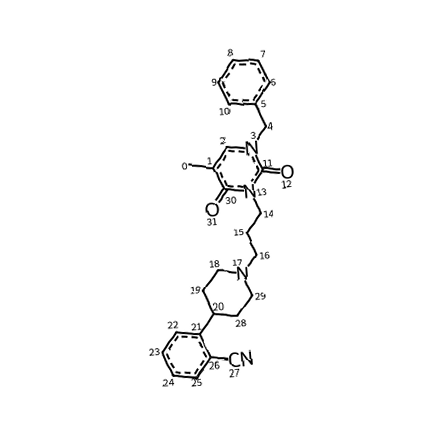 Cc1cn(Cc2ccccc2)c(=O)n(CCCN2CCC(c3ccccc3C#N)CC2)c1=O